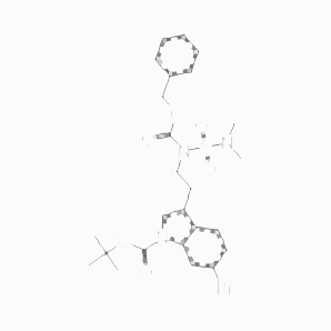 CN(C)S(=O)(=O)N(CCc1cn(C(=O)OC(C)(C)C)c2cc(Br)ccc12)C(=O)OCc1ccccc1